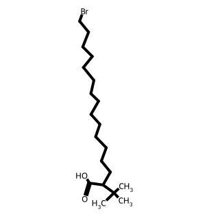 CC(C)(C)C(CCCCCCCCCCCCCCBr)C(=O)O